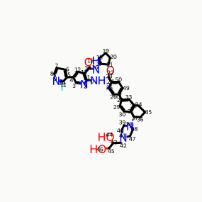 Nc1ncc(-c2cccnc2F)cc1C(=O)N[C@H]1CCC[C@@H]1OCc1ccc(-c2ccc3c(c2)CCC[C@@H]3N2CCN(C[C@H](O)CO)CC2)cc1